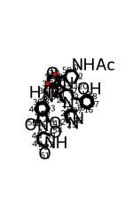 CC(=O)NC1CCN(C2(c3ccccc3)CC(c3ccccc3O)N(c3ccnnc3)CC2N)C(C(=O)C2CCN(c3ccc4c(c3)C(=O)N(C3CCC(=O)NC3=O)C4=O)CC2)C1